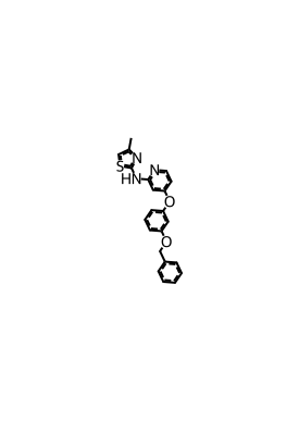 Cc1csc(Nc2cc(Oc3cccc(OCc4ccccc4)c3)ccn2)n1